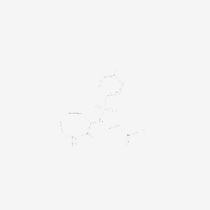 O=C(O)CCN(C1CCCCNC1=O)S(=O)(=O)c1ccc(Cl)cc1